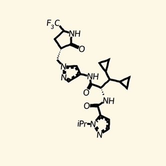 CC(C)n1nccc1C(=O)N[C@H](C(=O)Nc1cnn(C[C@@H]2CC(C(F)(F)F)NC2=O)c1)C(C1CC1)C1CC1